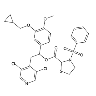 COc1ccc(C(Cc2c(Cl)cncc2Cl)OC(=O)C2SCCN2S(=O)(=O)c2ccccc2)cc1OCC1CC1